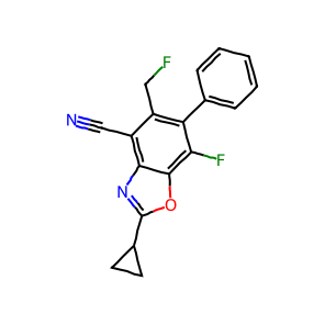 N#Cc1c(CF)c(-c2ccccc2)c(F)c2oc(C3CC3)nc12